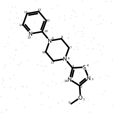 COc1nsc(N2CCN(c3ccccn3)CC2)n1